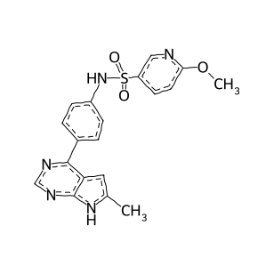 COc1ccc(S(=O)(=O)Nc2ccc(-c3ncnc4[nH]c(C)cc34)cc2)cn1